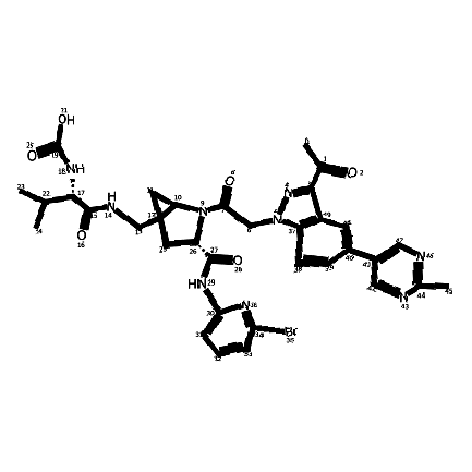 CC(=O)c1nn(CC(=O)N2C3CC3(CNC(=O)[C@@H](NC(=O)O)C(C)C)C[C@H]2C(=O)Nc2cccc(Br)n2)c2ccc(-c3cnc(C)nc3)cc12